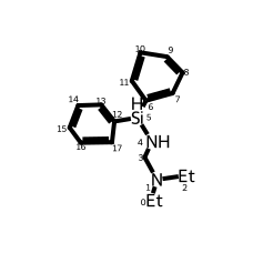 CCN(CC)CN[SiH](c1ccccc1)c1ccccc1